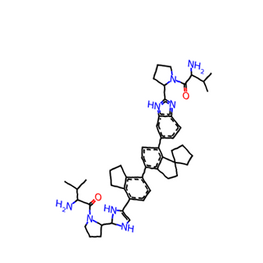 CC(C)C(N)C(=O)N1CCCC1c1nc2ccc(-c3ccc(-c4ccc(C5=CNC(C6CCCN6C(=O)C(N)C(C)C)N5)c5c4CCC5)c4c3C3(CCCC3)CC4)cc2[nH]1